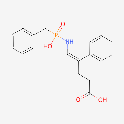 O=C(O)CCC(=CNP(=O)(O)Cc1ccccc1)c1ccccc1